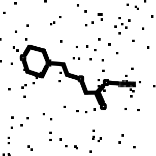 CCCCCCOC(=O)COCCN1CCOCC1